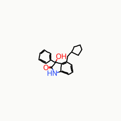 O=C1Nc2cccc(CC3CCCC3)c2C1(O)c1ccccc1